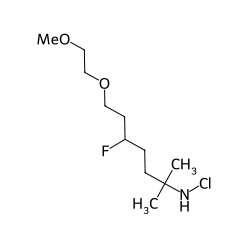 COCCOCCC(F)CCC(C)(C)NCl